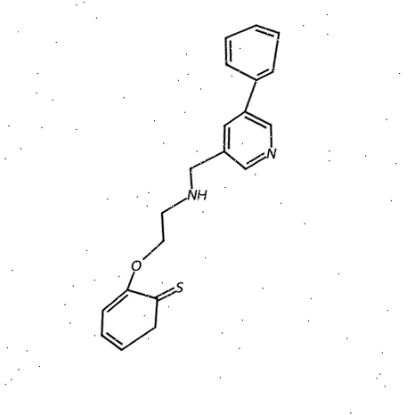 S=C1CC=CC=C1OCCNCc1cncc(-c2ccccc2)c1